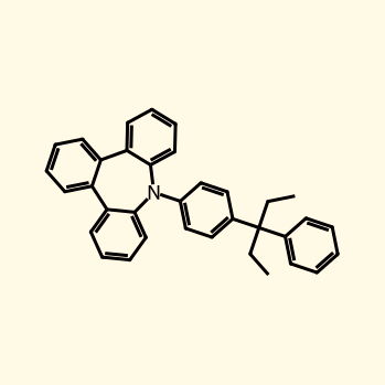 CCC(CC)(c1ccccc1)c1ccc(N2c3ccccc3-c3ccccc3-c3ccccc32)cc1